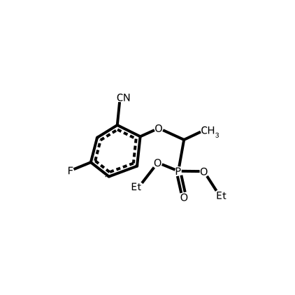 CCOP(=O)(OCC)C(C)Oc1c[c]c(F)cc1C#N